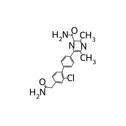 Cc1nc(C)c(-c2ccc(-c3ccc(CC(N)=O)cc3Cl)cc2)nc1C(N)=O